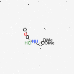 COc1cc2c(cc1OC)CC(CCCNCCCc1ccc(OCc3ccccc3)cc1)CC2.Cl